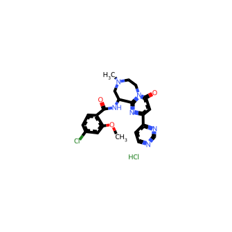 COc1cc(Cl)ccc1C(=O)NC1CN(C)CCn2c1nc(-c1ccncn1)cc2=O.Cl